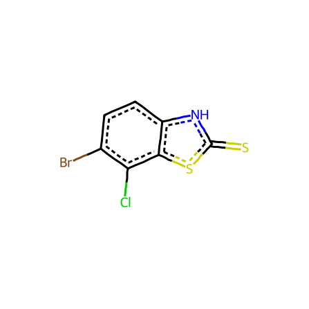 S=c1[nH]c2ccc(Br)c(Cl)c2s1